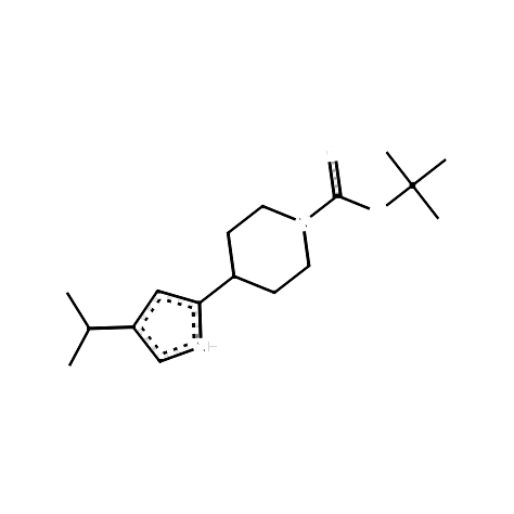 CC(C)c1c[nH]c(C2CCN(C(=O)OC(C)(C)C)CC2)c1